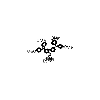 CCOP(=O)(CCn1c2ccc(N(c3ccc(OC)cc3)c3ccc(OC)cc3)cc2c2cc(N(c3ccc(OC)cc3)c3ccc(OC)cc3)ccc21)OCC